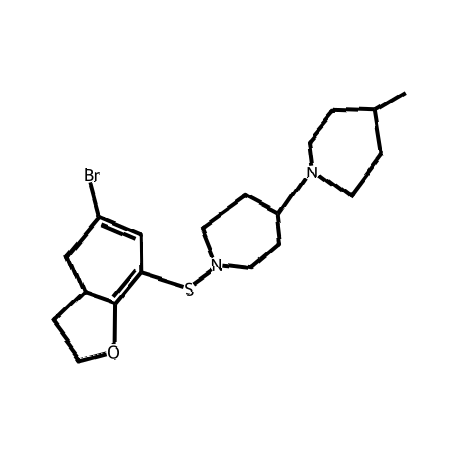 CC1CCN(C2CCN(SC3=C4OCCC4CC(Br)=C3)CC2)CC1